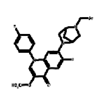 CC(=O)CN1CC2CC1CN2c1cc2c(cc1F)c(=O)c(OC(=O)O)cn2-c1ccc(F)cc1